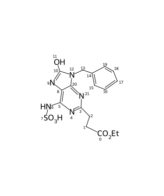 CCOC(=O)CCc1nc(NS(=O)(=O)O)c2nc(O)n(Cc3ccccc3)c2n1